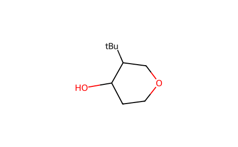 CC(C)(C)C1COCCC1O